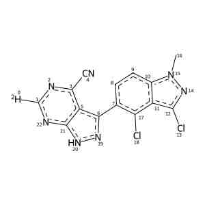 [2H]c1nc(C#N)c2c(-c3ccc4c(c(Cl)nn4C)c3Cl)n[nH]c2n1